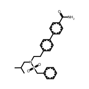 CC(C)CN(CCc1ccc(-c2ccc(C(N)=O)cc2)cc1)S(=O)(=O)Cc1ccccc1